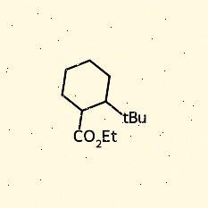 CCOC(=O)C1CCCCC1C(C)(C)C